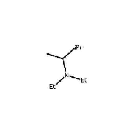 CCN(CC)C(C)[C](C)C